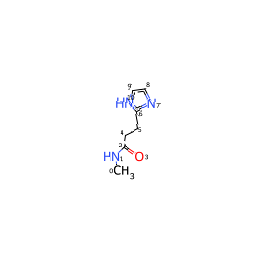 CNC(=O)CCc1ncc[nH]1